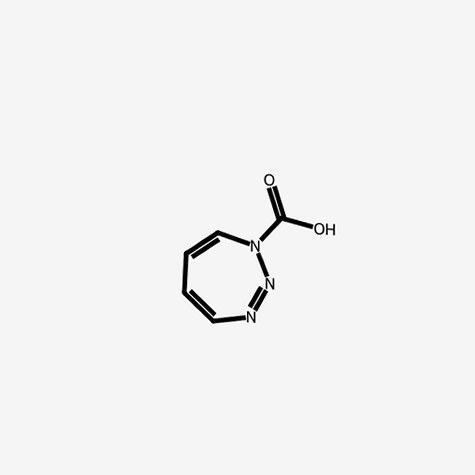 O=C(O)N1C=CC=CN=N1